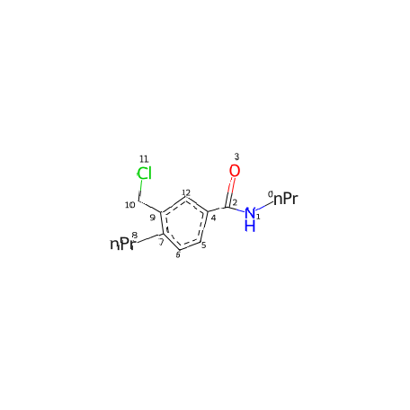 CCCNC(=O)c1ccc(CCC)c(CCl)c1